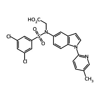 Cc1ccc(-n2ccc3cc(N(CC(=O)O)S(=O)(=O)c4cc(Cl)cc(Cl)c4)ccc32)nc1